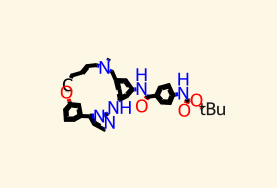 CN1C/C=C/CCOc2cccc(c2)-c2ccnc(n2)Nc2cc(cc(NC(=O)c3ccc(NC(=O)OC(C)(C)C)cc3)c2)C1